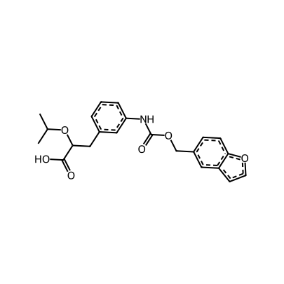 CC(C)OC(Cc1cccc(NC(=O)OCc2ccc3occc3c2)c1)C(=O)O